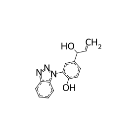 C=CC(O)c1ccc(O)c(-n2nnc3ccccc32)c1